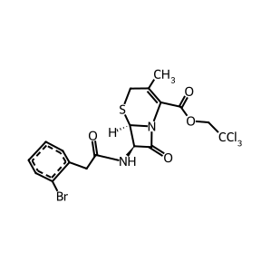 CC1=C(C(=O)OCC(Cl)(Cl)Cl)N2C(=O)[C@@H](NC(=O)Cc3ccccc3Br)[C@H]2SC1